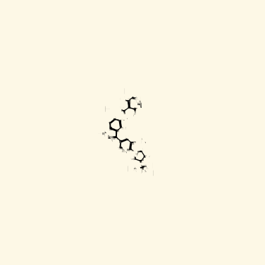 Cc1cnnc(C)c1C(C)Oc1ccc2[nH]nc(-c3cnc(N4CC[C@@H](C(C)(C)O)C4)c(C#N)c3)c2c1